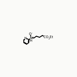 CCOC(=O)CCCC[NH+]([O-])c1ccccn1